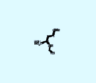 CSCCC(NCCl)C(=O)O.S